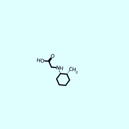 C[C@@H]1CCCC[C@@H]1NCC(=O)O